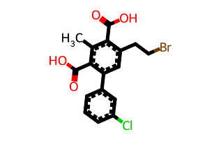 Cc1c(C(=O)O)c(CCBr)cc(-c2cccc(Cl)c2)c1C(=O)O